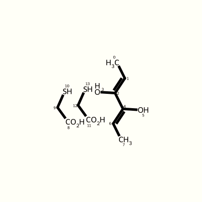 CC=C(O)C(O)=CC.O=C(O)CS.O=C(O)CS